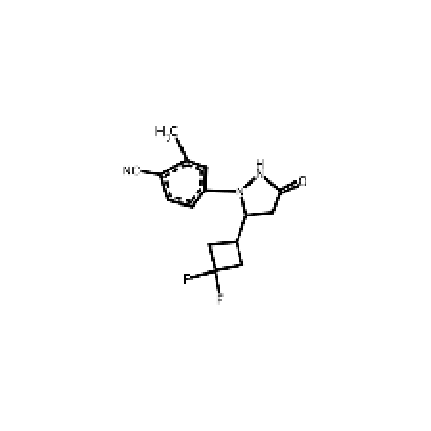 Cc1cc(N2NC(=O)CC2C2CC(F)(F)C2)ccc1C#N